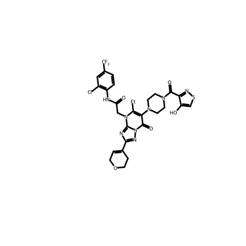 CCc1c(N2CCN(C(=O)c3nscc3O)CC2)c(=O)n2nc(C3=CCOCC3)nc2n1CC(=O)Nc1ccc(C(F)(F)F)cc1Cl